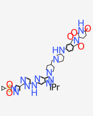 CC(C)n1nc(N2CCC(CN3CCC[C@H](Nc4ccc5c(c4)C(=O)N(C4CCC(=O)NC4=O)C5=O)C3)CC2)c2cnc(Nc3ccnc(-c4cnn(S(=O)(=O)C5CC5)c4)n3)cc21